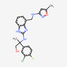 Cc1cc(NCc2cccc3[nH]c(NC(C)(CO)c4ccc(F)c(Cl)c4)nc23)no1